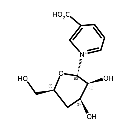 O=C(O)c1ccc[n+]([C@H]2O[C@H](CO)C[C@H](O)[C@@H]2O)c1